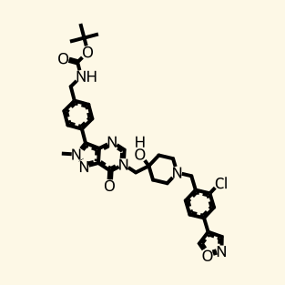 Cn1nc2c(=O)n(CC3(O)CCN(Cc4ccc(-c5cnoc5)cc4Cl)CC3)cnc2c1-c1ccc(CNC(=O)OC(C)(C)C)cc1